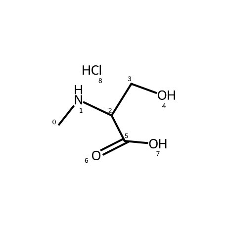 CNC(CO)C(=O)O.Cl